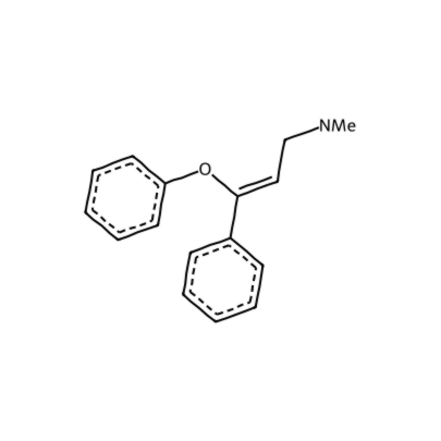 CNC/C=C(\Oc1ccccc1)c1ccccc1